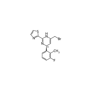 Cc1c(F)cccc1[C@@H]1C=C(CBr)NC(c2nccs2)=N1